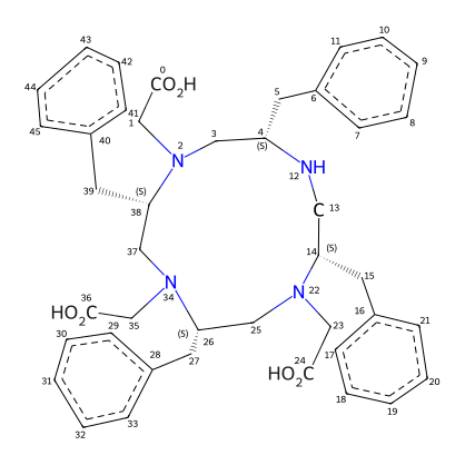 O=C(O)CN1C[C@H](Cc2ccccc2)NC[C@H](Cc2ccccc2)N(CC(=O)O)C[C@H](Cc2ccccc2)N(CC(=O)O)C[C@@H]1Cc1ccccc1